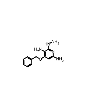 NNc1nc(N)cc(OCc2ccccc2)c1N